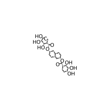 O=C(Oc1ccc2cc(OC(=O)c3ccc(O)c(O)c3O)ccc2c1)c1ccc(O)c(O)c1O